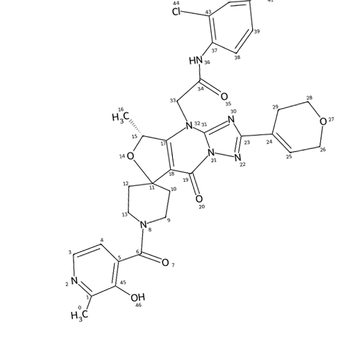 Cc1nccc(C(=O)N2CCC3(CC2)O[C@H](C)c2c3c(=O)n3nc(C4=CCOCC4)nc3n2CC(=O)Nc2ccc(C(F)(F)F)cc2Cl)c1O